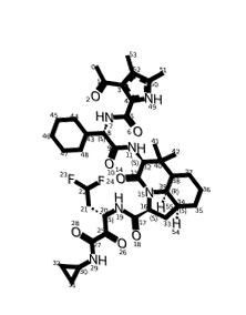 CC(=O)c1c(C(=O)N[C@H](C(=O)N[C@@H]2C(=O)N3[C@H](C(=O)N[C@@H](CC(F)F)C(=O)C(=O)NC4CC4)C[C@@H]4CCCC([C@@H]43)C2(C)C)C2CCCCC2)[nH]c(C)c1C